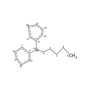 CCCCC[Si](c1ccccc1)c1ccccc1